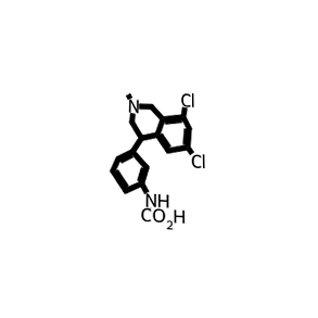 CN1Cc2c(Cl)cc(Cl)cc2C(c2cccc(NC(=O)O)c2)C1